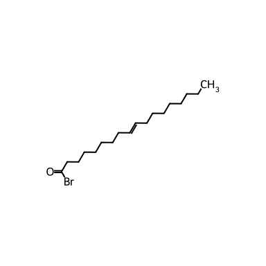 CCCCCCCCC=CCCCCCCCC(=O)Br